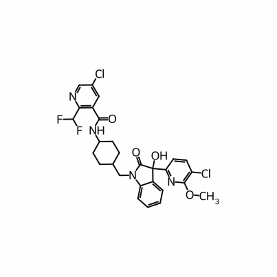 COc1nc(C2(O)C(=O)N(CC3CCC(NC(=O)c4cc(Cl)cnc4C(F)F)CC3)c3ccccc32)ccc1Cl